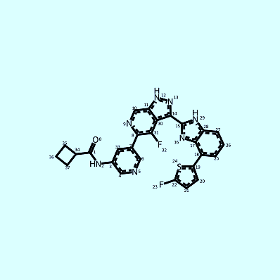 O=C(Nc1cncc(-c2ncc3[nH]nc(-c4nc5c(-c6ccc(F)s6)cccc5[nH]4)c3c2F)c1)C1CCC1